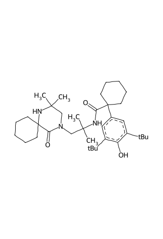 CC(C)(CN1CC(C)(C)NC2(CCCCC2)C1=O)NC(=O)C1(c2cc(C(C)(C)C)c(O)c(C(C)(C)C)c2)CCCCC1